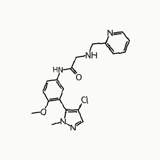 COc1ccc(NC(=O)CNCc2ccccn2)cc1-c1c(Cl)cnn1C